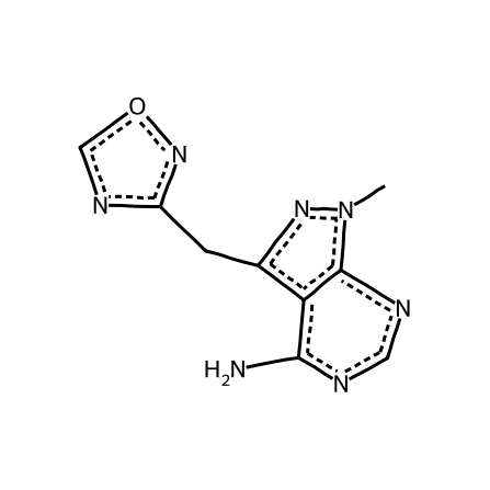 Cn1nc(Cc2ncon2)c2c(N)ncnc21